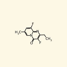 CCc1nc2c(F)cc(C)cn2c(=O)c1F